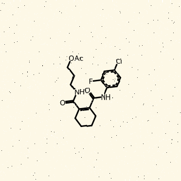 CC(=O)OCCCNC(=O)C1=C(C(=O)Nc2ccc(Cl)cc2F)CCCC1